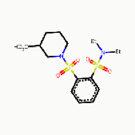 CCN(CC)S(=O)(=O)c1ccccc1S(=O)(=O)N1CCCC(C(=O)O)C1